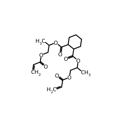 C=CC(=O)OCC(C)OC(=O)C1CCCCC1C(=O)OC(C)COC(=O)C=C